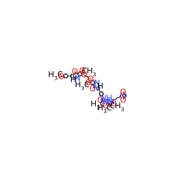 COc1ccc(C2=CC3C(=O)c4cc(OC)c(OCCCOc5cc6c(cc5OC)C(=O)N5C=C(c7ccc(NC(=O)[C@H](C)NC(=O)[C@@H](NC(=O)CCCCCN8C(=O)C=CC8=O)C(C)C)cc7)C[C@H]5C=N6)cc4N=C[C@@H]3C2)cc1